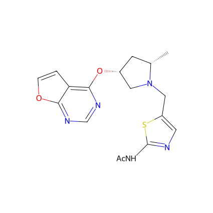 CC(=O)Nc1ncc(CN2C[C@H](Oc3ncnc4occc34)C[C@@H]2C)s1